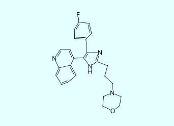 Fc1ccc(-c2nc(CCCN3CCOCC3)[nH]c2-c2ccnc3ccccc23)cc1